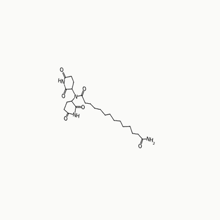 NC(=O)CCCCCCCCCCCCC(=O)N(C1CCC(=O)NC1=O)C1CCC(=O)NC1=O